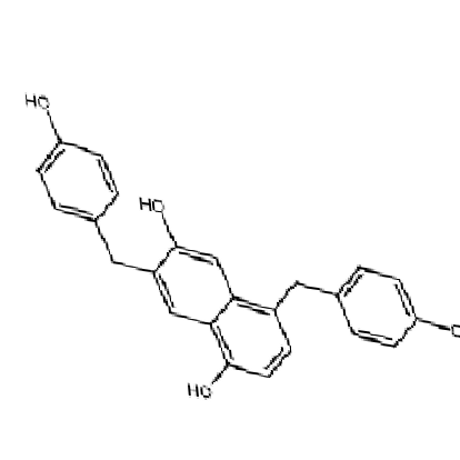 Oc1ccc(Cc2cc3c(O)ccc(Cc4ccc(O)cc4)c3cc2O)cc1